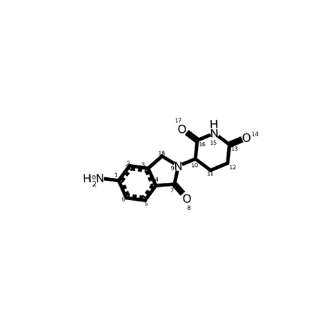 Nc1[c]c2c(cc1)C(=O)N(C1CCC(=O)NC1=O)C2